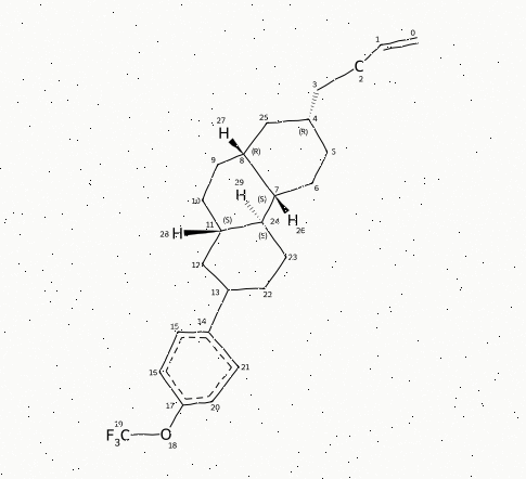 C=CCC[C@@H]1CC[C@H]2[C@H](CC[C@H]3CC(c4ccc(OC(F)(F)F)cc4)CC[C@@H]32)C1